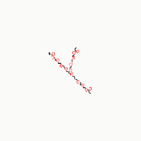 C=CC(=O)OCCOCCOCCCCOCC(COCCOCCOCCOC(=O)C=C)OCCOCCOCCOC(=O)C=C